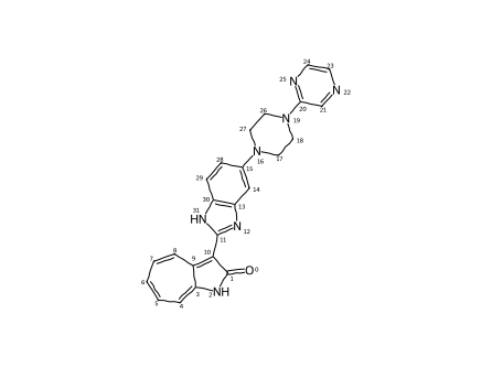 O=c1[nH]c2cccccc-2c1-c1nc2cc(N3CCN(c4cnccn4)CC3)ccc2[nH]1